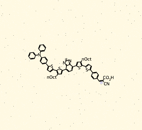 CCCCCCCCc1cc(-c2ccc(-c3cc(CCCCCCCC)c(-c4ccc(-c5ccc(N(c6ccccc6)c6ccccc6)cc5)s4)s3)c3nsnc23)sc1-c1ccc(-c2ccc(/C=C(/C#N)C(=O)O)cc2)s1